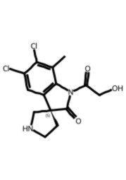 Cc1c(Cl)c(Cl)cc2c1N(C(=O)CO)C(=O)[C@@]21CCNC1